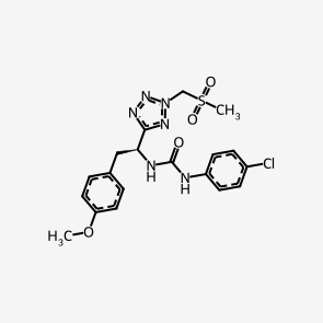 COc1ccc(C[C@H](NC(=O)Nc2ccc(Cl)cc2)c2nnn(CS(C)(=O)=O)n2)cc1